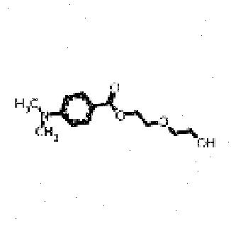 CN(C)c1ccc(C(=O)OCCOCCO)cc1